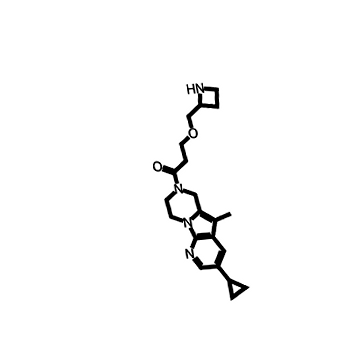 Cc1c2n(c3ncc(C4CC4)cc13)CCN(C(=O)CCOCC1CCN1)C2